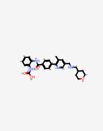 Cc1cc(CNCC2CCOCC2)cnc1-c1ccc(C(=O)Nc2ccccc2NC(=O)O)cc1